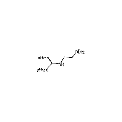 CCCCCCCCCCCCNC(CCCCCC)CCCCCC